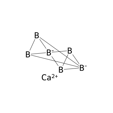 B12B3[B-]14B1B4[B-]231.[Ca+2]